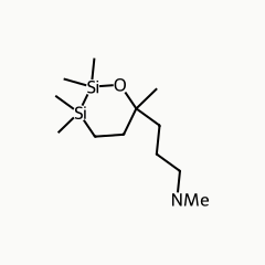 CNCCCC1(C)CC[Si](C)(C)[Si](C)(C)O1